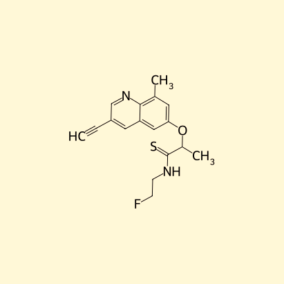 C#Cc1cnc2c(C)cc(OC(C)C(=S)NCCF)cc2c1